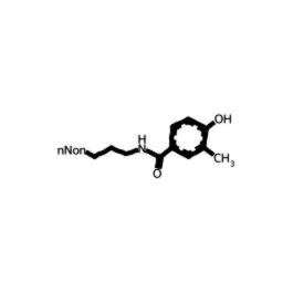 CCCCCCCCCCCCNC(=O)c1ccc(O)c(C)c1